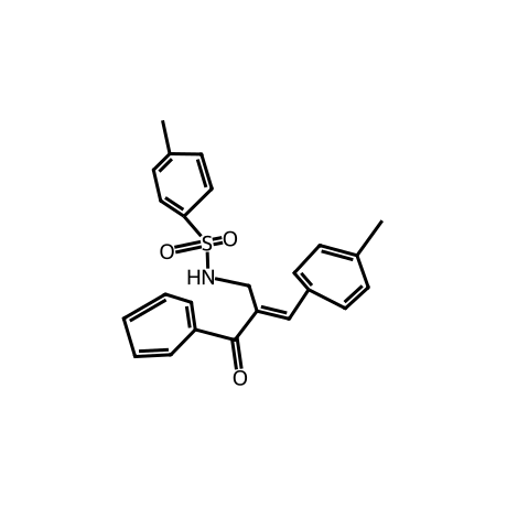 Cc1ccc(/C=C(\CNS(=O)(=O)c2ccc(C)cc2)C(=O)c2ccccc2)cc1